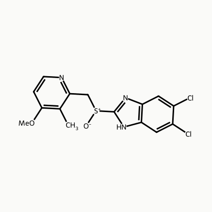 COc1ccnc(C[S+]([O-])c2nc3cc(Cl)c(Cl)cc3[nH]2)c1C